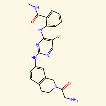 CNC(=O)c1ccccc1Nc1nc(Nc2ccc3c(c2)CN(C(=O)CN)CC3)ncc1Br